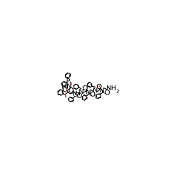 C[C@@H](c1ccccc1)C(CC(=O)N(CC(=O)N(CC(=O)N(CC(=O)N(CC(=O)N(CC(N)=O)[C@@H](C)c1ccccc1)[C@@H](C)c1ccccc1)[C@@H](C)c1ccccc1)[C@@H](C)c1ccccc1)[C@@H](C)c1ccccc1)C(=O)CNCCP(c1ccccc1)c1ccccc1